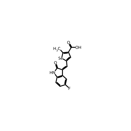 Cc1[se]c(C=C2C(=O)Nc3ccc(F)cc32)cc1C(=O)O